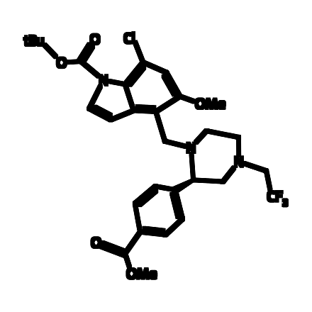 COC(=O)c1ccc([C@@H]2CN(CC(F)(F)F)CCN2Cc2c(OC)cc(Cl)c3c2ccn3C(=O)OC(C)(C)C)cc1